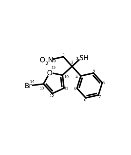 O=[N+]([O-])CC(S)(c1ccccc1)c1ccc(Br)o1